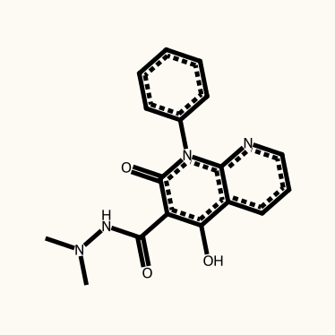 CN(C)NC(=O)c1c(O)c2cccnc2n(-c2ccccc2)c1=O